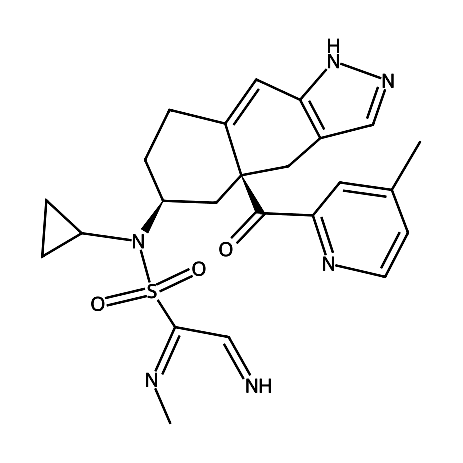 C/N=C(\C=N)S(=O)(=O)N(C1CC1)[C@H]1CCC2=Cc3[nH]ncc3C[C@]2(C(=O)c2cc(C)ccn2)C1